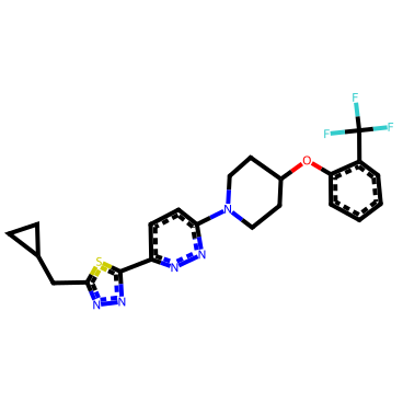 FC(F)(F)c1ccccc1OC1CCN(c2ccc(-c3nnc(CC4CC4)s3)nn2)CC1